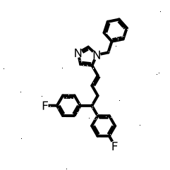 Fc1ccc(C(C/C=C/c2cncn2Cc2ccccc2)c2ccc(F)cc2)cc1